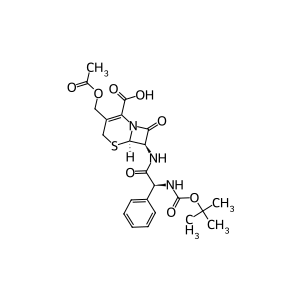 CC(=O)OCC1=C(C(=O)O)N2C(=O)[C@@H](NC(=O)[C@@H](NC(=O)OC(C)(C)C)c3ccccc3)[C@H]2SC1